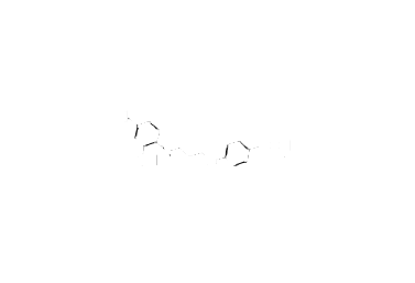 Cc1cc(Cl)ccc1NCCCOc1ccc(C(=O)O)cc1